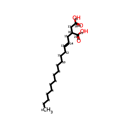 CCCCCCCCCCCCCC=CCC(CC(=O)O)C(=O)O